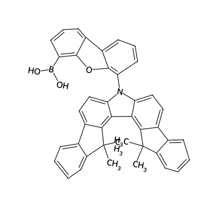 CC1(C)c2ccccc2-c2ccc3c(c21)c1c2c(ccc1n3-c1cccc3c1oc1c(B(O)O)cccc13)-c1ccccc1C2(C)C